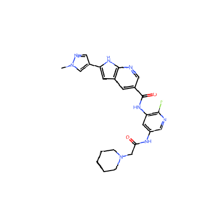 Cn1cc(-c2cc3cc(C(=O)Nc4cc(NC(=O)CN5CCCCC5)cnc4F)cnc3[nH]2)cn1